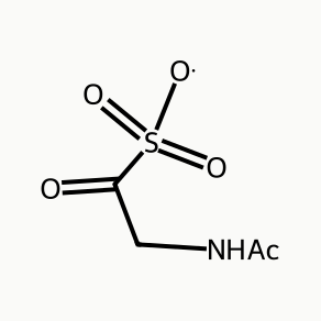 CC(=O)NCC(=O)S([O])(=O)=O